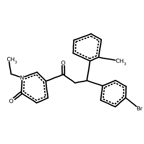 CCn1cc(C(=O)CC(c2ccc(Br)cc2)c2ccccc2C)ccc1=O